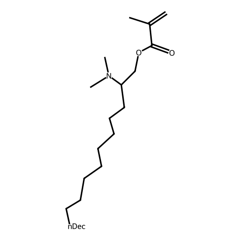 C=C(C)C(=O)OCC(CCCCCCCCCCCCCCCCCC)N(C)C